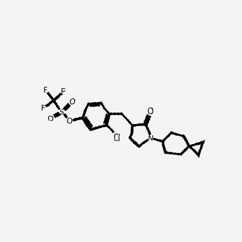 O=C1C(Cc2ccc(OS(=O)(=O)C(F)(F)F)cc2Cl)CCN1C1CCC2(CC1)CC2